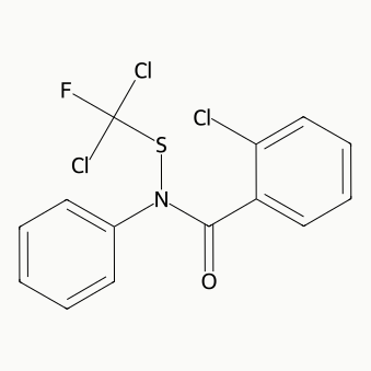 O=C(c1ccccc1Cl)N(SC(F)(Cl)Cl)c1ccccc1